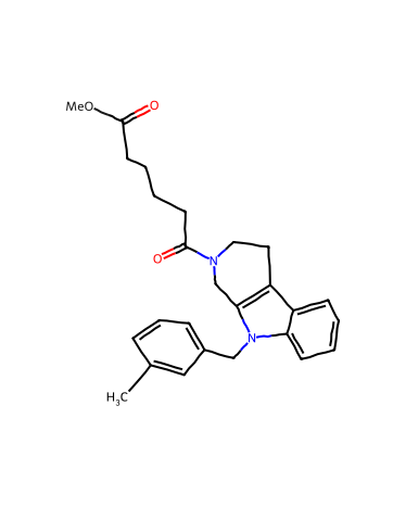 COC(=O)CCCCC(=O)N1CCc2c(n(Cc3cccc(C)c3)c3ccccc23)C1